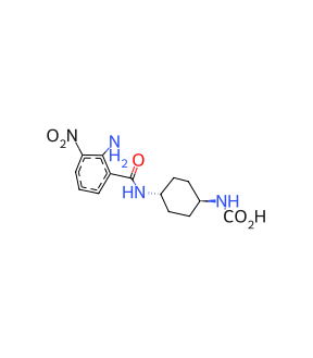 Nc1c(C(=O)N[C@H]2CC[C@H](NC(=O)O)CC2)cccc1[N+](=O)[O-]